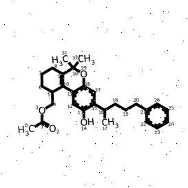 CC(=O)OCC1CCCC2=C1c1cc(O)c(C(C)CCCc3ccccc3)cc1OC2(C)C